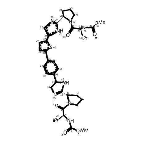 COC(=O)N[C@H](C(=O)N1CCC[C@H]1C1=NCC(c2ccc(-c3ccc(-c4cnc([C@@H]5CCCN5C(=O)[C@@H](NC(=O)OC)C(C)C)[nH]4)s3)cc2)N1)C(C)C